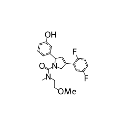 COCCN(C)C(=O)N1CC(c2cc(F)ccc2F)=CC1c1cccc(O)c1